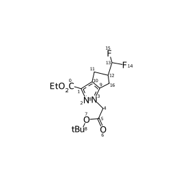 CCOC(=O)c1nn(CC(=O)OC(C)(C)C)c2c1CC(C(F)F)C2